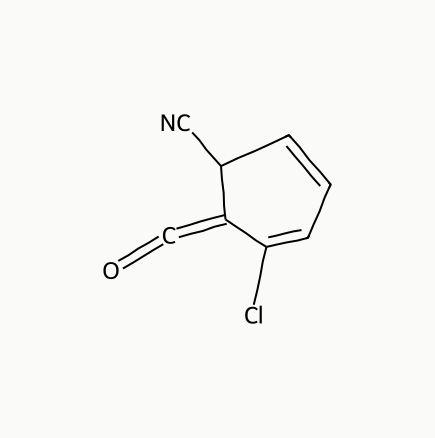 N#CC1C=CC=C(Cl)C1=C=O